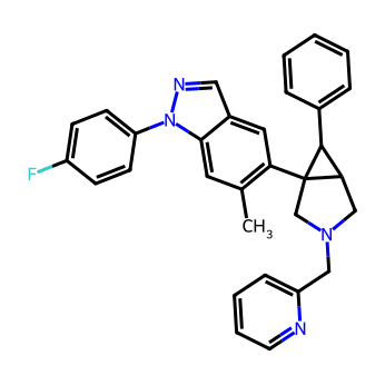 Cc1cc2c(cnn2-c2ccc(F)cc2)cc1C12CN(Cc3ccccn3)CC1C2c1ccccc1